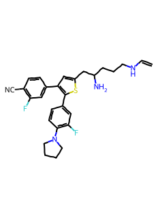 C=CNCCCC(N)Cc1cc(-c2ccc(C#N)c(F)c2)c(-c2ccc(N3CCCC3)c(F)c2)s1